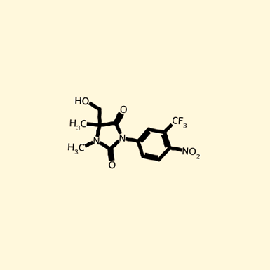 CN1C(=O)N(c2ccc([N+](=O)[O-])c(C(F)(F)F)c2)C(=O)C1(C)CO